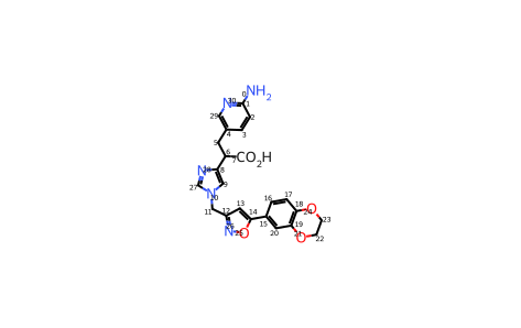 Nc1ccc(CC(C(=O)O)c2cn(Cc3cc(-c4ccc5c(c4)OCCO5)on3)cn2)cn1